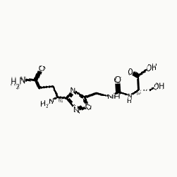 NC(=O)CC[C@H](N)c1noc(CNC(=O)N[C@@H](CO)C(=O)O)n1